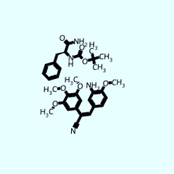 CC(C)(C)OC(=O)N[C@@H](Cc1ccccc1)C(N)=O.COc1ccc(/C=C(/C#N)c2cc(OC)c(OC)c(OC)c2)cc1N